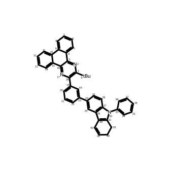 CC(C)(C)c1nc2c3ccccc3c3ccccc3c2nc1-c1cccc(-c2ccc3c(c2)c2c(n3-c3ccccc3)CCC=C2)c1